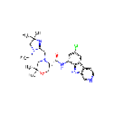 CC1(C)CN(CC(F)(F)F)C(CN2CC(C)(C)OC[C@H]2C(=O)Nc2cc(Cl)cc3c2[nH]c2cnccc23)=N1